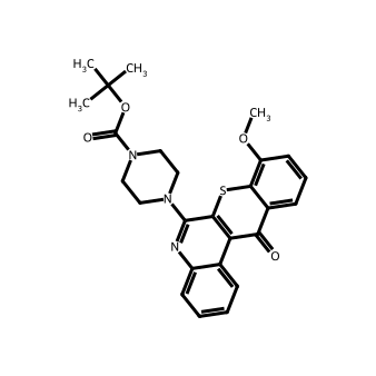 COc1cccc2c(=O)c3c(sc12)c(N1CCN(C(=O)OC(C)(C)C)CC1)nc1ccccc13